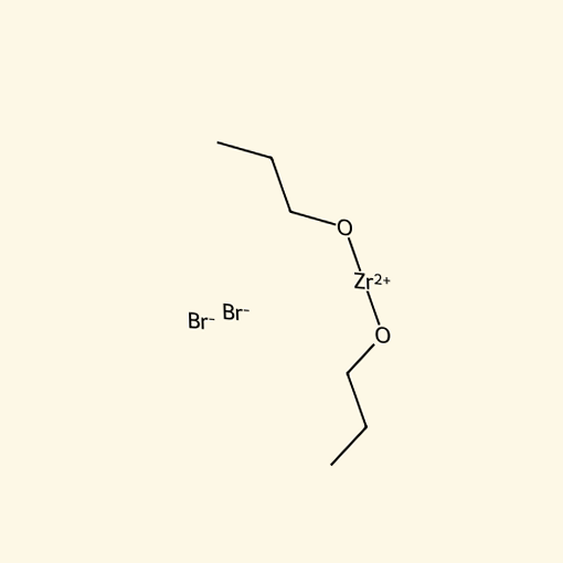 CCC[O][Zr+2][O]CCC.[Br-].[Br-]